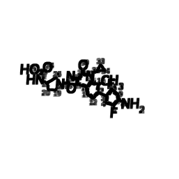 Cc1c(-c2cc(F)c(N)cc2F)ccc2c3oc(N4CC[C@@H](NC(=O)O)C4)nc3c(=O)n(C3CC3)c12